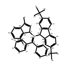 CC1=C[CH]([Zr](=[C](c2ccccc2)c2ccccc2)[CH]2c3cc(C(C)(C)C)ccc3-c3ccc(C(C)(C)C)cc32)c2c(C)cccc21